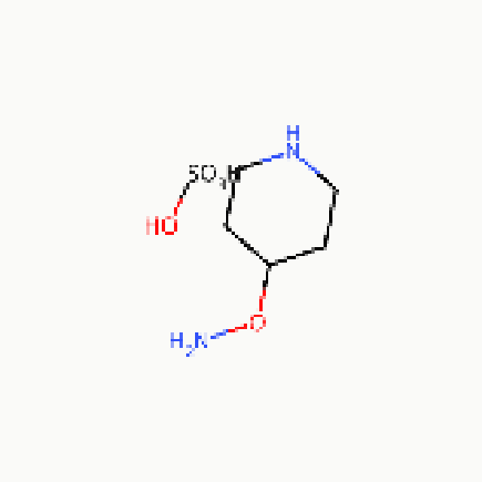 NOC1CCNCC1.O=S(=O)(O)O